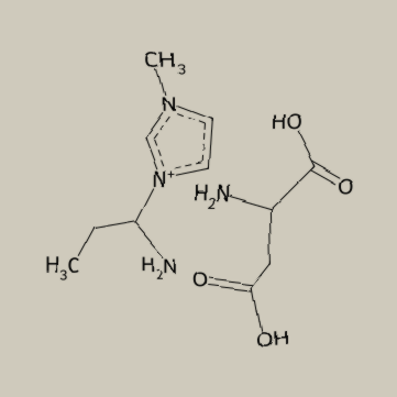 CCC(N)[n+]1ccn(C)c1.NC(CC(=O)O)C(=O)O